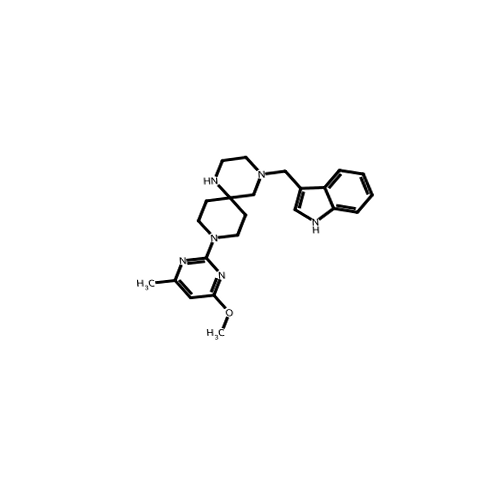 COc1cc(C)nc(N2CCC3(CC2)CN(Cc2c[nH]c4ccccc24)CCN3)n1